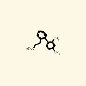 CCCCCCCCCCCCc1[c]cccc1-c1ccc(C)cc1C